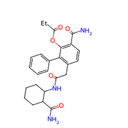 CCC(=O)Oc1c(C(N)=O)ccc(CC(=O)NC2CCCCC2C(N)=O)c1-c1ccccc1